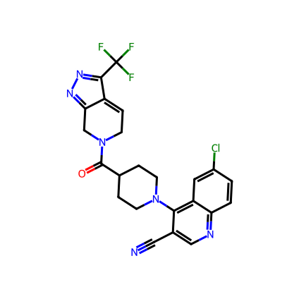 N#Cc1cnc2ccc(Cl)cc2c1N1CCC(C(=O)N2CC=C3C(=NN=C3C(F)(F)F)C2)CC1